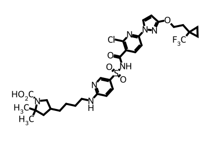 CC1(C)CC(CCCCNc2ccc(S(=O)(=O)NC(=O)c3ccc(-n4ccc(OCCC5(C(F)(F)F)CC5)n4)nc3Cl)cn2)CN1C(=O)O